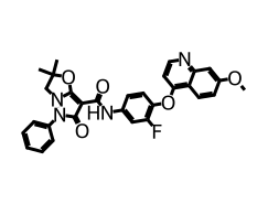 COc1ccc2c(Oc3ccc(NC(=O)c4c5n(n(-c6ccccc6)c4=O)CC(C)(C)O5)cc3F)ccnc2c1